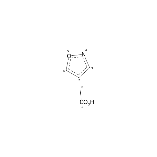 CC(=O)O.c1cnoc1